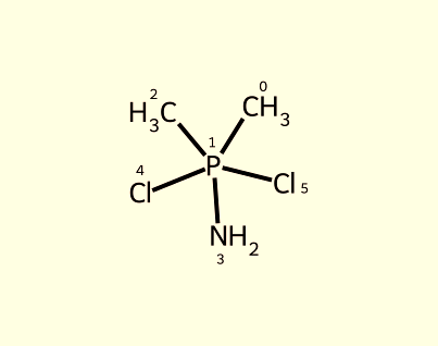 CP(C)(N)(Cl)Cl